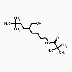 CC(C)(C)CCC(CO)CCCCNC(=O)C(C)(C)C